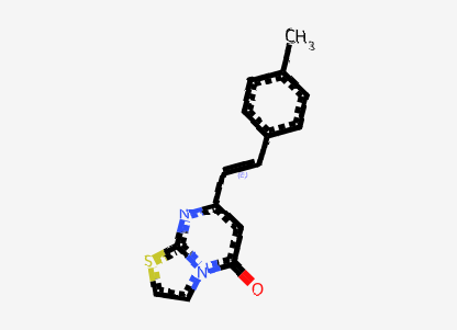 Cc1ccc(/C=C/c2cc(=O)n3ccsc3n2)cc1